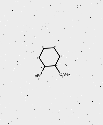 CCCC1CCCCC1OC